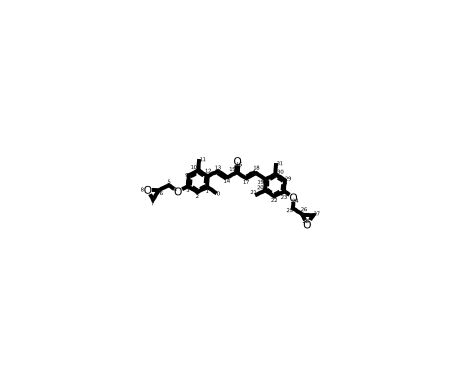 Cc1cc(OCC2CO2)cc(C)c1C=CC(=O)C=Cc1c(C)cc(OCC2CO2)cc1C